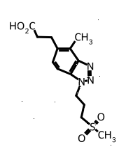 Cc1c(CCC(=O)O)ccc2c1nnn2CCCS(C)(=O)=O